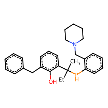 CCC(C)(Pc1ccccc1CN1CCCCC1)c1cccc(Cc2ccccc2)c1O